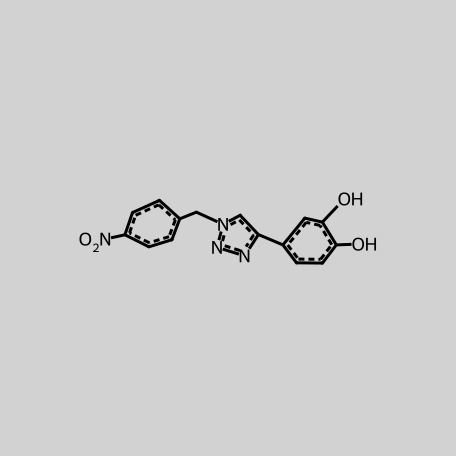 O=[N+]([O-])c1ccc(Cn2cc(-c3ccc(O)c(O)c3)nn2)cc1